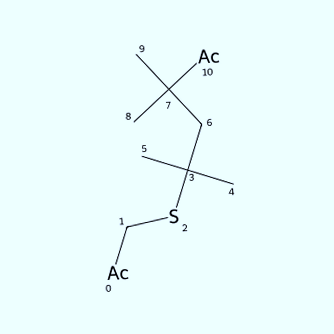 CC(=O)CSC(C)(C)CC(C)(C)C(C)=O